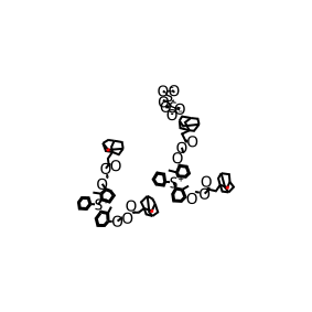 Cc1c(OCOC(=O)CC23CC4CC(CC(C4)C2)C3)cccc1[S+](c1ccccc1)c1cccc(OCOC(=O)CC23CC4CC(CC(C4)C2)C3)c1C.Cc1c(OCOC(=O)CC23CC4CC(CC(C4)C2)C3)cccc1[S+](c1ccccc1)c1cccc(OCOC(=O)CC23CC4CC(CC(C4)C2)C3)c1C.O=S(=O)([O-])CS(=O)(=O)[O-]